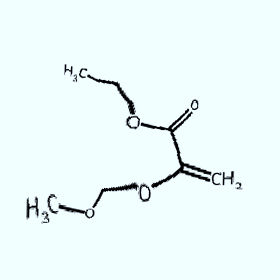 C=C(OCOC)C(=O)OCC